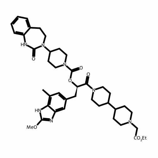 CCOC(=O)CN1CCC(C2CCN(C(=O)[C@@H](Cc3cc(C)c4[nH]c(OC)nc4c3)OC(=O)N3CCC(N4CCc5ccccc5NC4=O)CC3)CC2)CC1